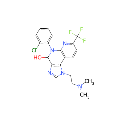 CN(C)CCn1cnc2c1-c1ccc(C(F)(F)F)nc1N(c1ccccc1Cl)C2O